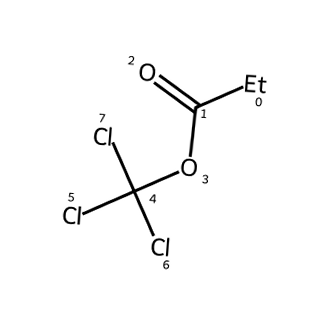 CCC(=O)OC(Cl)(Cl)Cl